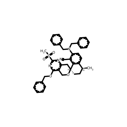 C[C@H]1CC[C@]2(Cc3nc(S(C)(=O)=O)nc(OCc4ccccc4)c3CO2)c2c1ccc(N(Cc1ccccc1)Cc1ccccc1)c2C#N